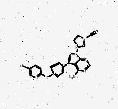 N#CN1CC[C@H](n2nc(-c3ccc(Oc4ccc(Cl)cn4)cc3)c3c(N)ncnc32)C1